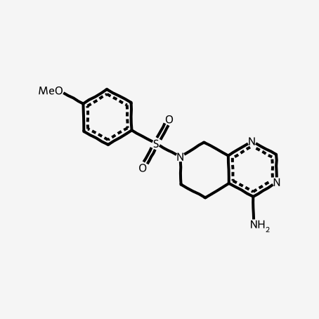 COc1ccc(S(=O)(=O)N2CCc3c(N)ncnc3C2)cc1